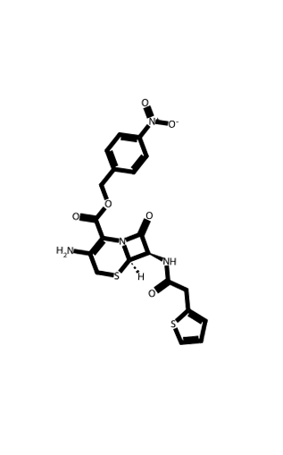 NC1=C(C(=O)OCc2ccc([N+](=O)[O-])cc2)N2C(=O)[C@@H](NC(=O)Cc3cccs3)[C@H]2SC1